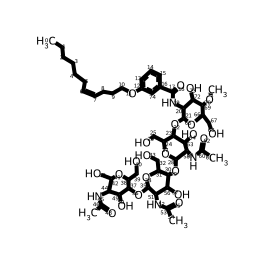 CCCCCC/C=C\CCCOc1cccc(C(=O)NC2C(OC3C(CO)OC(OC4C(CO)OC(OC5C(CO)OC(O)C(NC(C)=O)C5O)C(NC(C)=O)C4O)C(NC(C)=O)C3O)OC(CO)C(OC)C2O)c1